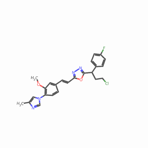 COc1cc(C=Cc2nnc(C(CCCl)c3ccc(F)cc3)o2)ccc1-n1cnc(C)c1